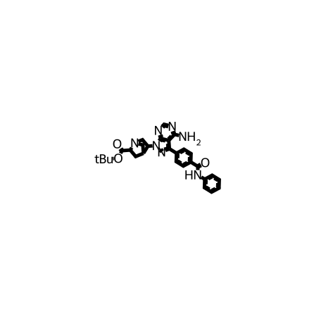 CC(C)(C)OC(=O)C1CC2CN1CC2n1nc(-c2ccc(C(=O)Nc3ccccc3)cc2)c2c(N)ncnc21